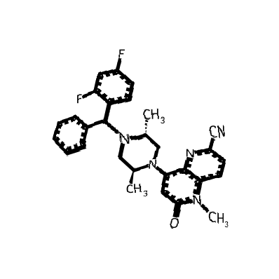 C[C@@H]1CN(c2cc(=O)n(C)c3ccc(C#N)nc23)[C@@H](C)CN1C(c1ccccc1)c1ccc(F)cc1F